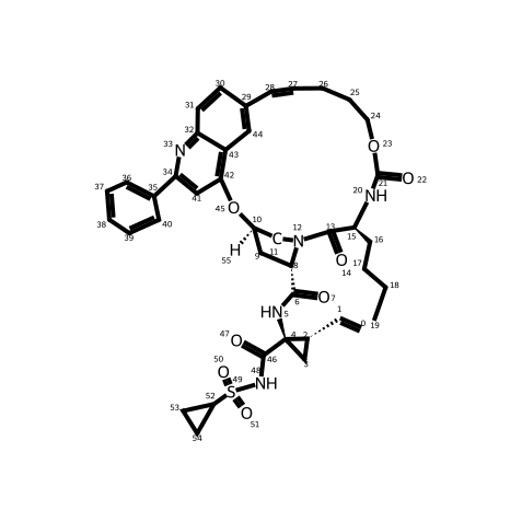 C=C[C@@H]1C[C@]1(NC(=O)[C@@H]1C[C@@H]2CN1C(=O)[C@H](CCCC)NC(=O)OCCC/C=C\c1ccc3nc(-c4ccccc4)cc(c3c1)O2)C(=O)NS(=O)(=O)C1CC1